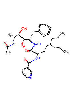 CCCC(CCC)CC[C@@H](NC(=O)c1cccnc1)C(=O)N[C@@H](Cc1ccccc1)[C@@H](O)[C@H](O)[C@@H](C)NC(C)=O